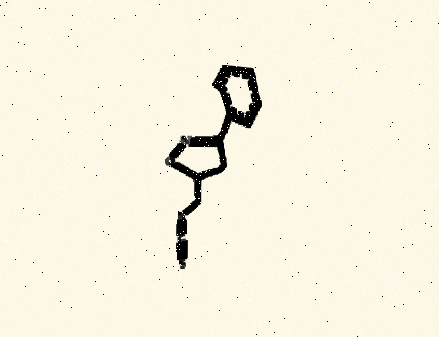 S=C=NCC1CC(c2ccccc2)=NO1